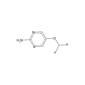 Nc1ncc(OC(F)F)cn1